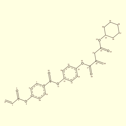 C=CC(=O)Oc1ccc(C(=O)Oc2ccc(OC(=O)C(=C)CC(=O)OC3CCCCC3)cc2)cc1